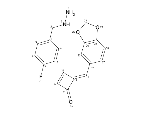 NNCc1ccc(F)cc1.O=C1C=CC1=Cc1ccc2c(c1)OCO2